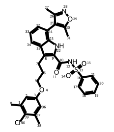 Cc1cc(OCCCc2c(C(=O)NS(=O)(=O)c3ccccc3)[nH]c3c(-c4c(C)noc4C)cccc23)cc(C)c1Cl